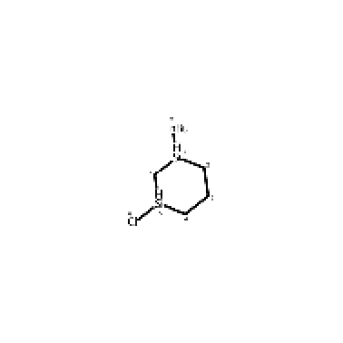 CCCC[SiH]1CCC[SiH](Cl)C1